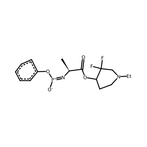 CCN1CCC(OC(=O)[C@H](C)N=[P+]([O-])Oc2ccccc2)C(F)(F)C1